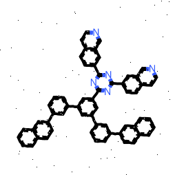 c1cc(-c2cc(-c3cccc(-c4ccc5ccccc5c4)c3)cc(-c3nc(-c4ccc5ccncc5c4)nc(-c4ccc5ccncc5c4)n3)c2)cc(-c2ccc3ccccc3c2)c1